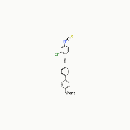 CCCCCc1ccc(-c2ccc(C#Cc3ccc(N=C=S)cc3Cl)cc2)cc1